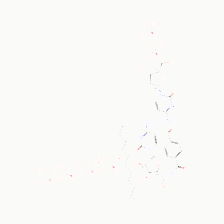 CCCCCCCCCCCO.NC(=O)c1ccc(C=O)cc1.Nc1ccn([C@@H]2O[C@H](CO)[C@@H](O)[C@H]2O)c(=O)n1.Nc1ccn([C@H]2C[C@H](O)[C@@H](CO)O2)c(=O)n1.O=P(O)(O)O.O=P(O)(O)O.O=P(O)(O)O.O=P(O)(O)O.O=P(O)(O)O.O=P(O)(O)O